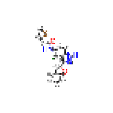 O=C(Cc1cccs1)Nc1ccc2[nH]nc(-c3cc4ccccc4o3)c2c1F